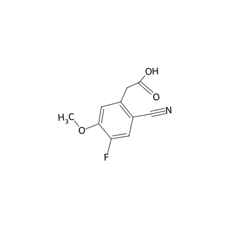 COc1cc(CC(=O)O)c(C#N)cc1F